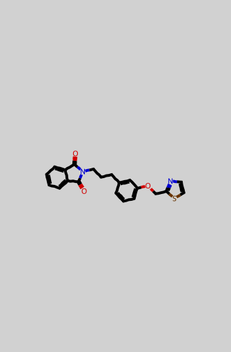 O=C1c2ccccc2C(=O)N1CCCc1cccc(OCc2nccs2)c1